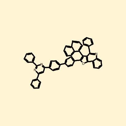 c1ccc(-c2cc(-c3ccc(-c4ccc(-c5oc6c(c(-c7ccccc7)nc7ccccc76)c5-c5cccc6ccccc56)cc4)cc3)nc(-c3ccccc3)n2)cc1